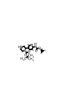 CC(C)(C)OC(=O)N1CCNCC1c1ccc(NC(=O)OC2CC2)nc1